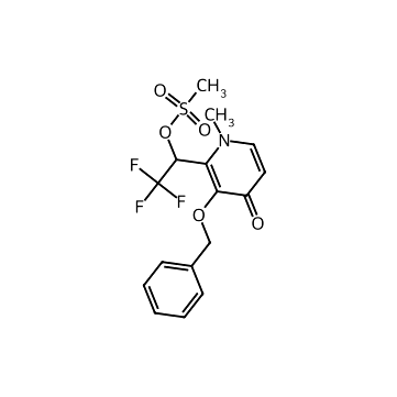 Cn1ccc(=O)c(OCc2ccccc2)c1C(OS(C)(=O)=O)C(F)(F)F